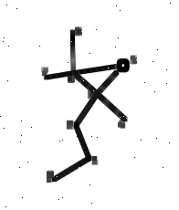 [CH2]CCC1(C)OC1(C)C